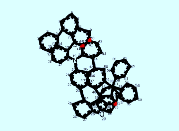 c1ccc(-c2cccc3cccc(-c4ccccc4N(c4ccc(-c5cccc6oc7ccccc7c56)cc4)c4ccccc4-c4ccc5c(c4)C(c4ccccc4)(c4ccccc4)c4ccccc4-5)c23)cc1